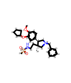 COc1ccc([C@H]2CN(Cc3ccccc3)C[C@@]2(C)CCNS(C)(=O)=O)cc1OC1CCCC1